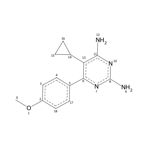 COc1ccc(-c2nc(N)nc(N)c2C2CC2)cc1